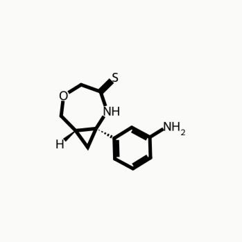 Nc1cccc([C@]23C[C@@H]2COCC(=S)N3)c1